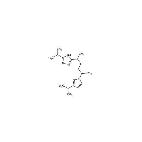 CC(C)c1ccn(C(C)CCC(C)c2nnc(C(C)C)[nH]2)n1